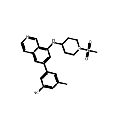 Cc1cc(C#N)cc(-c2cc(NC3CCN(S(C)(=O)=O)CC3)c3cnccc3c2)c1